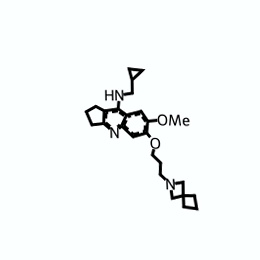 COc1cc2c(NCC3CC3)c3c(nc2cc1OCCCN1CC2(CCC2)C1)CCC3